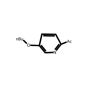 CCCCOc1ccc(C(C)=O)nc1